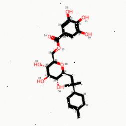 CC1=CC[C@@H](C(C)(C)C[C@@H]2O[C@H](COC(=O)c3cc(O)c(O)c(O)c3)[C@@H](O)[C@H](O)[C@H]2O)CC1